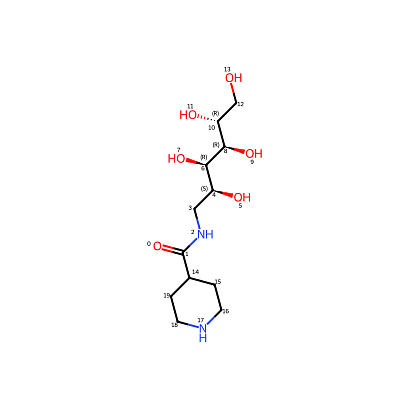 O=C(NC[C@H](O)[C@@H](O)[C@H](O)[C@H](O)CO)C1CCNCC1